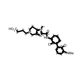 CNc1cccc(-c2cccc(NC(=O)c3nc4c(n3C)CCN(CCCC(=O)O)C4)c2Cl)c1Cl